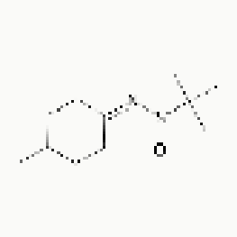 CC1CCC(=N[S+]([O-])C(C)(C)C)CC1